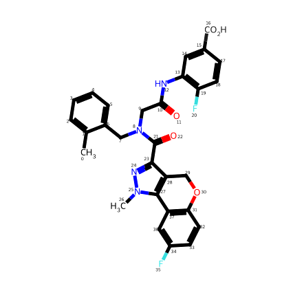 Cc1ccccc1CN(CC(=O)Nc1cc(C(=O)O)ccc1F)C(=O)c1nn(C)c2c1COc1ccc(F)cc1-2